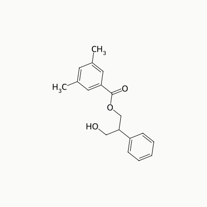 Cc1cc(C)cc(C(=O)OCC(CO)c2ccccc2)c1